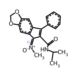 CC(C)NC(=O)C1=C(c2ccccc2)c2cc3c(cc2/C1=[N+](/C)[O-])OCO3